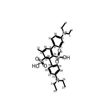 CCN(CC)c1ccc(-c2cc(C)c(S(=O)(=O)O)c(-c3ccc(N(CC)CC)cc3)c2S(=O)(=O)O)cc1